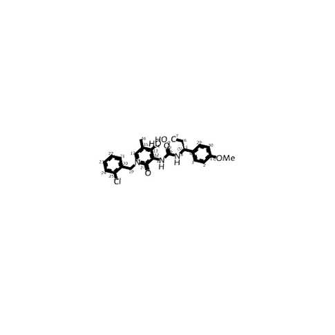 COc1ccc([C@H](CC(=O)O)NC(=O)Nc2c(O)c(C)cn(Cc3ccccc3Cl)c2=O)cc1